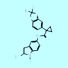 CCCN1c2ccc(NC(=O)C3(c4ccc5c(c4)OC(F)(F)O5)CC3)cc2CC1C(C)(C)C